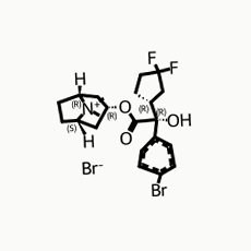 C[N+]1(C)[C@@H]2CC[C@H]1C[C@@H](OC(=O)[C@](O)(c1ccc(Br)cc1)[C@@H]1CCC(F)(F)C1)C2.[Br-]